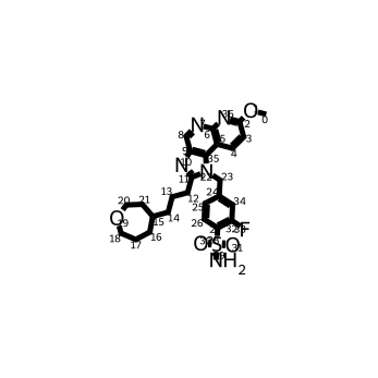 COc1ccc2c(ncc3nc(CCCC4CCCOCC4)n(Cc4ccc(S(N)(=O)=O)c(F)c4)c32)n1